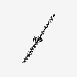 CCCCCCCCC=CCCCCCCCCNC(=S)NCCCCCCCCC=CCCCCCCCC